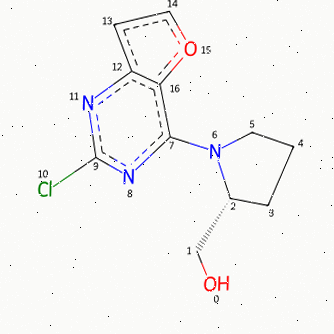 OC[C@H]1CCCN1c1nc(Cl)nc2ccoc12